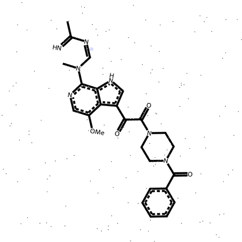 COc1cnc(N(C)/C=N\C(C)=N)c2[nH]cc(C(=O)C(=O)N3CCN(C(=O)c4ccccc4)CC3)c12